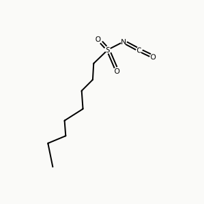 CCCCCCCCS(=O)(=O)N=C=O